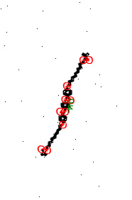 C=C(C)C(=O)OCCCCCCCCCCCOc1ccc(C(=O)Oc2ccc(OC(=O)c3ccc(OCCCCCCCCCCCOC(=O)C(=C)C)cc3)c(F)c2F)cc1